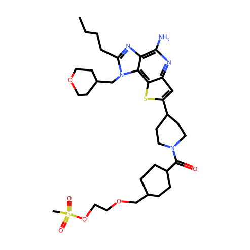 CCCCc1nc2c(N)nc3cc(C4CCN(C(=O)C5CCC(COCCOS(C)(=O)=O)CC5)CC4)sc3c2n1CC1CCOCC1